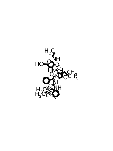 C#CCCC(NC(=O)[C@@H]1[C@H]2CC(C)(C)OC2CN1C(=O)[C@@H](NC(=O)NC1(CS(=O)(=O)C(C)(C)C)CCCCC1)C1CCCCC1)C(=O)C(=O)NCC=C